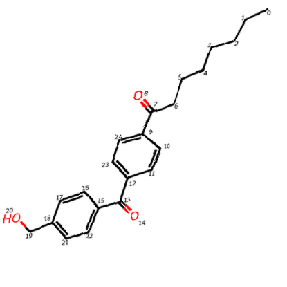 CCCCCCCC(=O)c1ccc(C(=O)c2ccc(CO)cc2)cc1